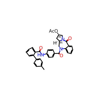 CC(=O)O[C@@H]1C[C@@H]2CN(C(=O)c3ccc(NC(=O)c4ccccc4-c4ccc(C)cc4)cc3)c3ccccc3C(=O)N2C1